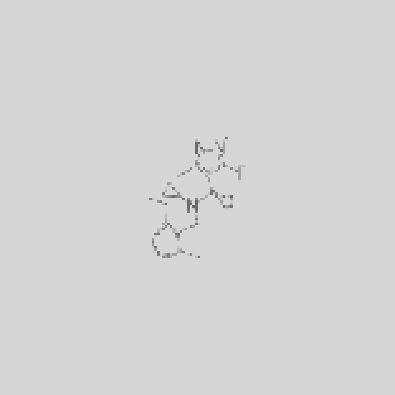 CCc1cccc(C)c1CN(C(=O)c1c(C)nn(C)c1F)C1CC1